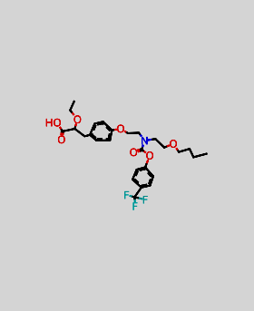 CCCCOCCN(CCOc1ccc(CC(OCC)C(=O)O)cc1)C(=O)Oc1ccc(C(F)(F)F)cc1